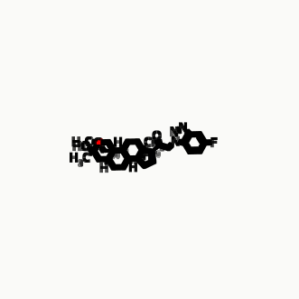 COC[C@]12CC[C@@](C)(O)C[C@@H]1CC[C@H]1[C@@H]3CC[C@H](C(=O)Cn4nnc5cc(F)ccc54)[C@@]3(C)CC[C@@H]12